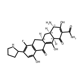 NC(=O)C1=C(O)[C@@H](N)[C@@H]2C[C@@H]3Cc4c(F)c(C5CCCN5)cc(O)c4C(=O)C3=C(O)[C@@H]2C1=O